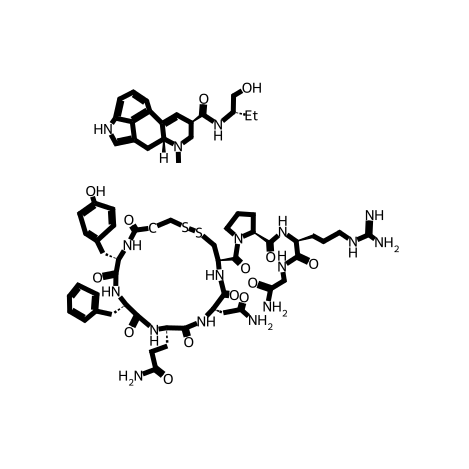 CC[C@@H](CO)NC(=O)[C@@H]1C=C2c3cccc4[nH]cc(c34)C[C@H]2N(C)C1.N=C(N)NCCC[C@H](NC(=O)[C@@H]1CCCN1C(=O)[C@@H]1CSSCCC(=O)N[C@@H](Cc2ccc(O)cc2)C(=O)N[C@@H](Cc2ccccc2)C(=O)N[C@@H](CCC(N)=O)C(=O)N[C@@H](CC(N)=O)C(=O)N1)C(=O)NCC(N)=O